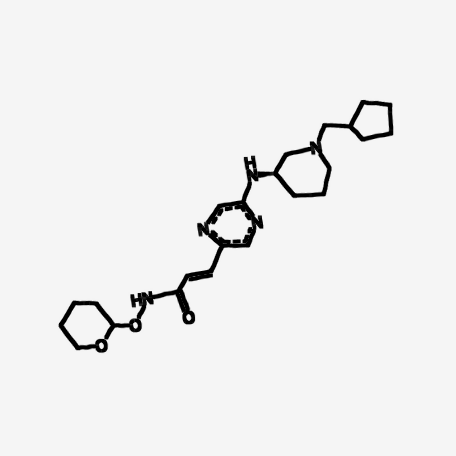 O=C(C=Cc1cnc(N[C@@H]2CCCN(CC3CCCC3)C2)cn1)NOC1CCCCO1